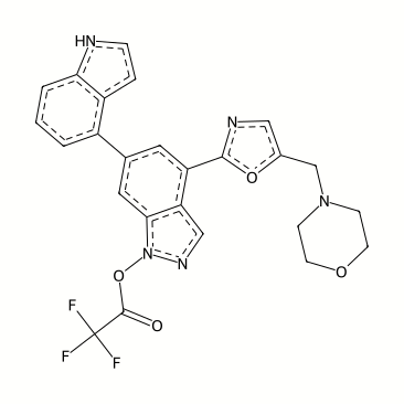 O=C(On1ncc2c(-c3ncc(CN4CCOCC4)o3)cc(-c3cccc4[nH]ccc34)cc21)C(F)(F)F